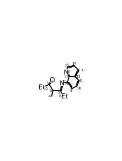 CCC(=O)C(C)C(CC)=Nc1cccc2cccnc12